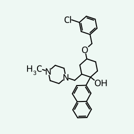 CN1CCN(CC2CC(OCc3cccc(Cl)c3)CCC2(O)c2ccc3ccccc3c2)CC1